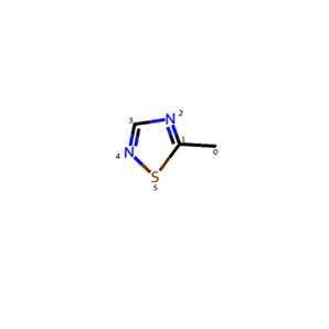 Cc1ncns1